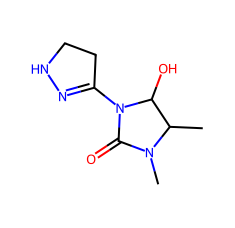 CC1C(O)N(C2=NNCC2)C(=O)N1C